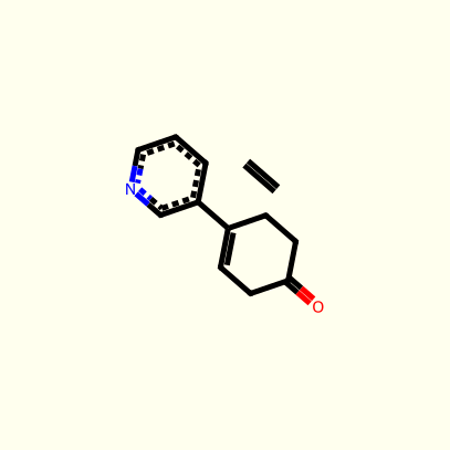 C=C.O=C1CC=C(c2cccnc2)CC1